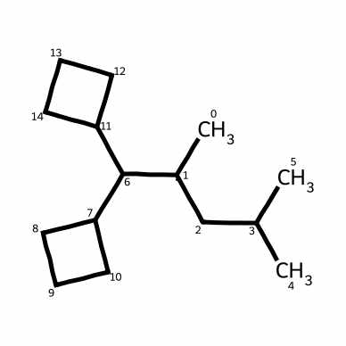 C[C](CC(C)C)C(C1CCC1)C1CCC1